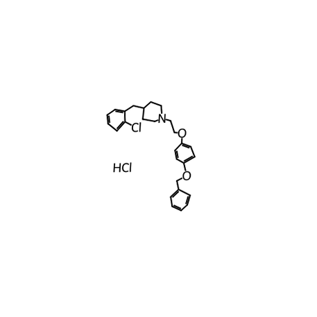 Cl.Clc1ccccc1CC1CCN(CCOc2ccc(OCc3ccccc3)cc2)CC1